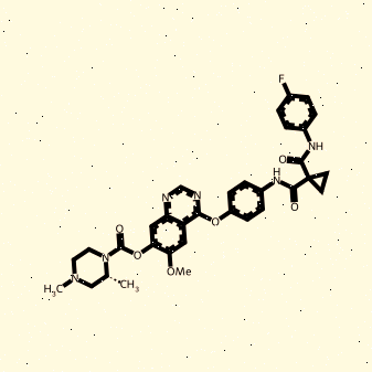 COc1cc2c(Oc3ccc(NC(=O)C4(C(=O)Nc5ccc(F)cc5)CC4)cc3)ncnc2cc1OC(=O)N1CCN(C)C[C@H]1C